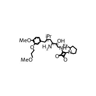 CCC1CCCCN1c1c(NC[C@H](O)[C@@H](N)C[C@H](Cc2ccc(OC)c(OCCCOC)c2)C(C)C)c(=O)c1=O